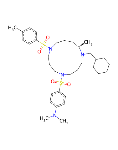 Cc1ccc(S(=O)(=O)N2CCC[C@@H](C)N(CC3CCCCC3)CCCN(S(=O)(=O)c3ccc(N(C)C)cc3)CCC2)cc1